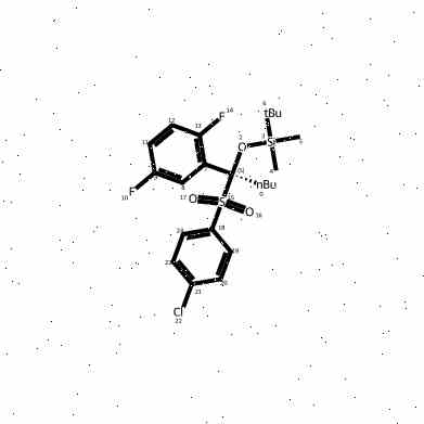 CCCC[C@@](O[Si](C)(C)C(C)(C)C)(c1cc(F)ccc1F)S(=O)(=O)c1ccc(Cl)cc1